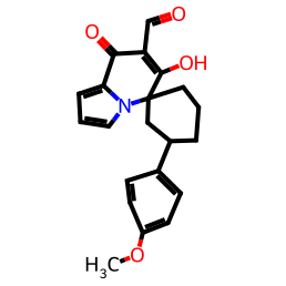 COc1ccc(C2CCCC3(C2)C(O)=C(C=O)C(=O)c2cccn23)cc1